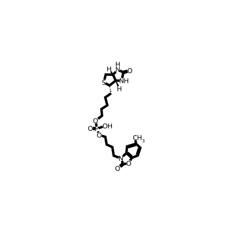 Cc1ccc2oc(=O)n(CCCCOP(=O)(O)OCCCCC[C@@H]3SC[C@@H]4NC(=O)N[C@@H]43)c2c1